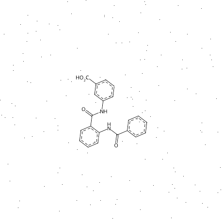 O=C(O)c1cccc(NC(=O)c2ccccc2NC(=O)c2ccccc2)c1